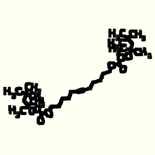 CC(C)(C)CC(C)(C)OOC(=O)OCCCCCC#CCCCCCOC(=O)OOC(C)(C)CC(C)(C)C